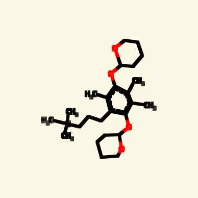 Cc1c(C)c(OC2CCCCO2)c(CCC[Si](C)(C)C)c(C)c1OC1CCCCO1